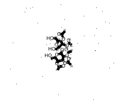 CC(=O)OC1C(CO)OC(OC2(CO)OC(CO)C(OC(C)=O)C2OC(C)=O)C(OC(C)=O)C1OC(C)=O